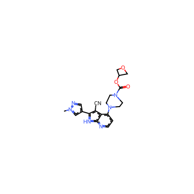 Cn1cc(-c2[nH]c3nccc(N4CCN(C(=O)OC5COC5)CC4)c3c2C#N)cn1